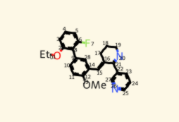 CCOc1cccc(F)c1-c1ccc(OC)c(C=C2CCCN=C2c2cccnc2)c1